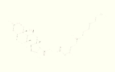 C[C@]12C=CC(=O)C=C1CC[C@H]1[C@@H]3C[C@@H](O)[C@](O)(C(=O)COC(=O)NC(COC(=O)OCCCCO[N+](=O)[O-])C(=O)O)[C@@]3(C)C[C@H](O)[C@@]12F